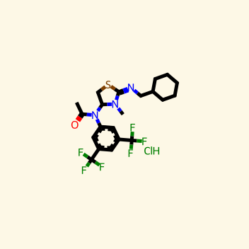 CC(=O)N(c1cc(C(F)(F)F)cc(C(F)(F)F)c1)C1CSC(=NCC2CCCCC2)N1C.Cl